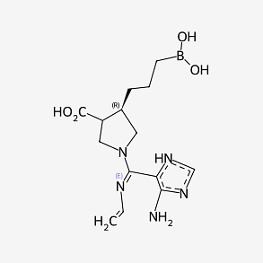 C=C/N=C(\c1[nH]cnc1N)N1CC(C(=O)O)[C@@H](CCCB(O)O)C1